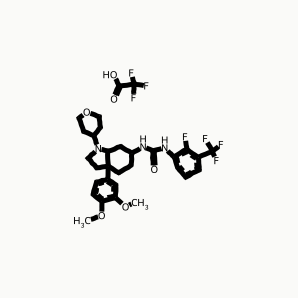 COc1ccc(C23CCC(NC(=O)Nc4cccc(C(F)(F)F)c4F)CC2N(C2CCOCC2)CC3)cc1OC.O=C(O)C(F)(F)F